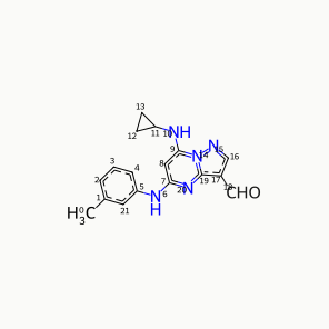 Cc1cccc(Nc2cc(NC3CC3)n3ncc(C=O)c3n2)c1